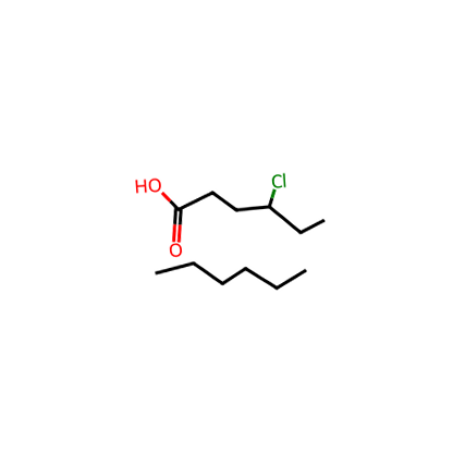 CCC(Cl)CCC(=O)O.CCCCCC